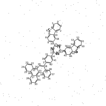 c1ccc2c(c1)sc1ccc(-c3nc(-c4ccc(-c5cc6c7ccccc7c7ccccc7c6c6ccccc56)cc4)nc(-c4ccc5sc6ccccc6c5c4)n3)cc12